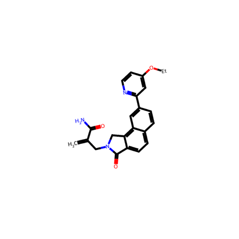 C=C(CN1Cc2c(ccc3ccc(-c4cc(OCC)ccn4)cc23)C1=O)C(N)=O